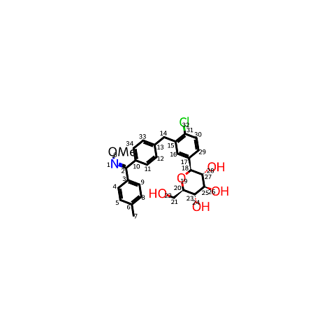 CON=C(c1ccc(C)cc1)c1ccc(Cc2cc([C@@H]3O[C@H](CO)[C@@H](O)[C@H](O)[C@H]3O)ccc2Cl)cc1